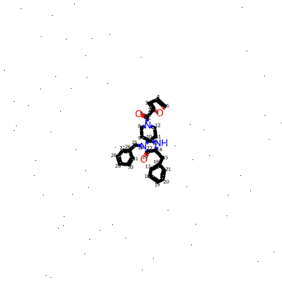 O=C(c1ccco1)N1CCC2(CC1)NC(Cc1ccccc1)C(=O)N2Cc1ccccc1